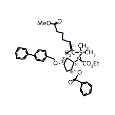 CCOC(=O)N([C@@H]1[C@@H](C/C=C\CCCC(=O)OC)[C@@H](OCc2ccc(-c3ccccc3)cc2)C[C@H]1OC(=O)c1ccccc1)[Si](C)(C)C